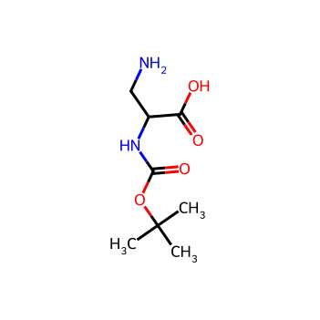 CC(C)(C)OC(=O)NC(CN)C(=O)O